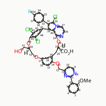 COc1ccccc1-c1nccc(COc2ccc3cc2C[C@H](C(=O)O)Oc2nccn4c(Cl)c(-c5ccc(F)cc5)c(c24)-c2cc(Cl)c(c(Cl)c2)O[C@H](CO)CO3)n1